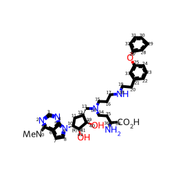 CNc1ncnc2c1ccn2[C@@H]1C[C@H](CN(CCCNCCc2cccc(Oc3ccccc3)c2)CCC(N)C(=O)O)[C@@H](O)[C@H]1O